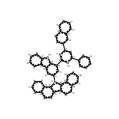 c1ccc(-c2cc(-c3ccc4ccccc4c3)nc(-c3cc(-n4c5c6ccccc6ccc5c5ccc6ccccc6c54)cc4c3sc3ccccc34)n2)cc1